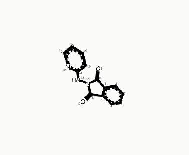 O=C1c2ccccc2C(=O)N1Nc1ccccn1